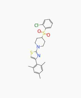 Cc1cc(C)c(-c2csc(N3CCC(S(=O)(=O)c4ccccc4Cl)CC3)n2)c(C)c1